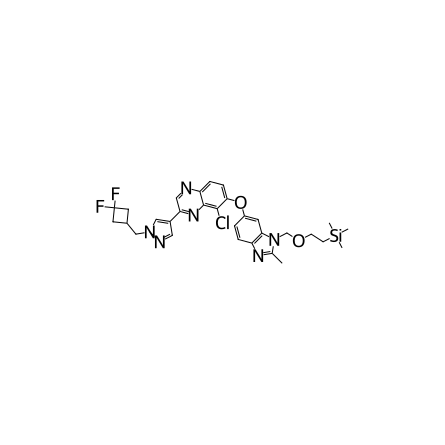 Cc1nc2ccc(Oc3ccc4ncc(-c5cnn(CC6CC(F)(F)C6)c5)nc4c3Cl)cc2n1COCC[Si](C)(C)C